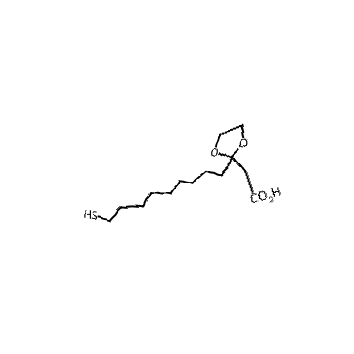 O=C(O)CC1(CCCCCCCCCS)OCCO1